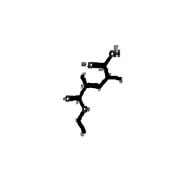 CCOC(=O)C(C)=CC(C)C(=O)O